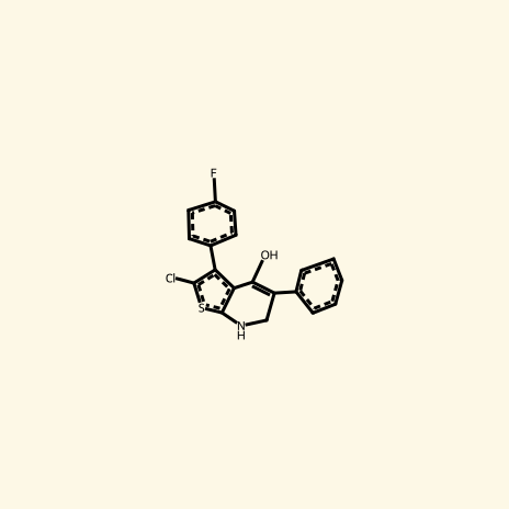 OC1=C(c2ccccc2)CNc2sc(Cl)c(-c3ccc(F)cc3)c21